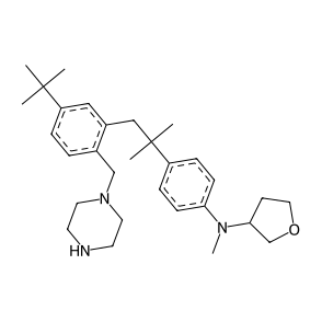 CN(c1ccc(C(C)(C)Cc2cc(C(C)(C)C)ccc2CN2CCNCC2)cc1)C1CCOC1